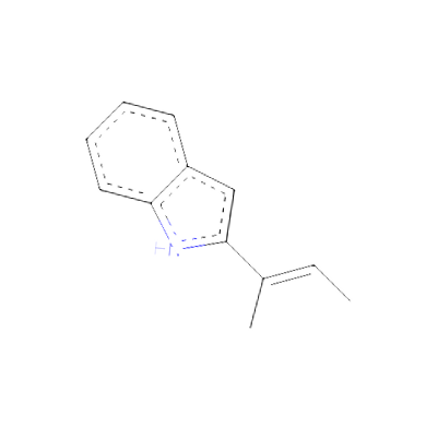 CC=C(C)c1cc2ccccc2[nH]1